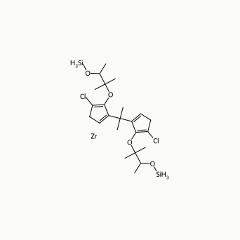 CC(O[SiH3])C(C)(C)OC1=C(Cl)CC=C1C(C)(C)C1=CCC(Cl)=C1OC(C)(C)C(C)O[SiH3].[Zr]